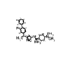 CC(c1ccc(-c2ccccc2)c(F)c1)c1cc(/N=C(\N)N2CCC(N(C)C)CC2)on1